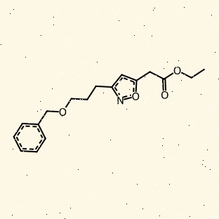 CCOC(=O)Cc1cc(CCCOCc2ccccc2)no1